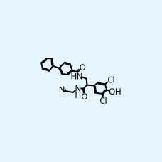 N#CCNC(=O)C(CNC(=O)c1ccc(-c2ccccc2)cc1)c1cc(Cl)c(O)c(Cl)c1